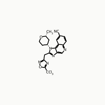 C[C@@H]1C[C@H](n2c(Cc3noc(C(Cl)(Cl)Cl)n3)nc3cnc4ccc(C#N)cc4c32)CCO1